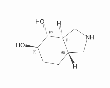 O[C@@H]1[C@H]2CNC[C@@H]2CC[C@H]1O